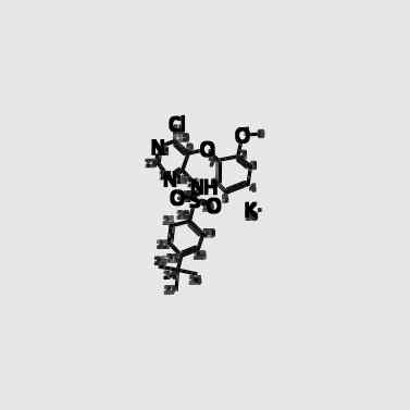 COc1ccccc1Oc1c(Cl)ncnc1NS(=O)(=O)c1ccc(C(C)(C)C)cc1.[K]